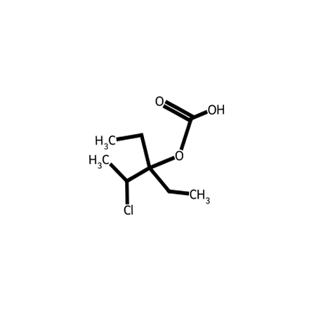 CCC(CC)(OC(=O)O)C(C)Cl